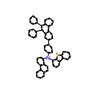 c1ccc(-c2c(-c3ccccc3)c3cc(-c4ccc(N(c5cccc6c5ccc5ccccc56)c5cccc6c5sc5ccccc56)cc4)ccc3c3ccccc23)cc1